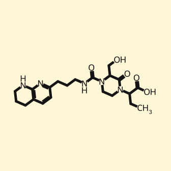 CCC(C(=O)O)N1CCN(C(=O)NCCCc2ccc3c(n2)NCCC3)C(CO)C1=O